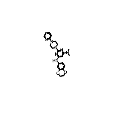 CN(C)c1cc(Nc2ccc3c(c2)OCCO3)nc(N2CCN(c3ccccn3)CC2)n1